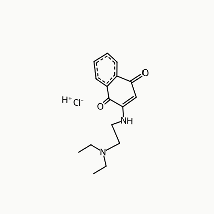 CCN(CC)CCNC1=CC(=O)c2ccccc2C1=O.[Cl-].[H+]